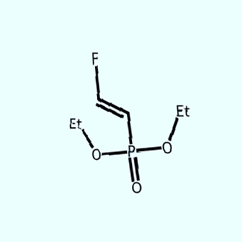 CCOP(=O)(C=CF)OCC